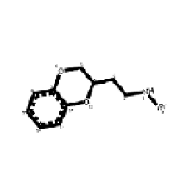 CC(C)NCCC1COc2ccccc2O1